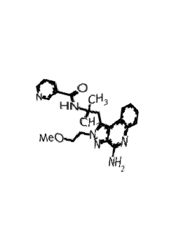 COCCn1nc2c(N)nc3ccccc3c2c1CC(C)(C)NC(=O)c1cccnc1